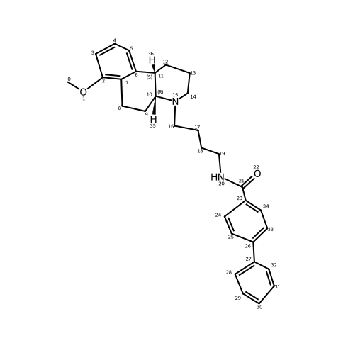 COc1cccc2c1CC[C@@H]1[C@H]2CCCN1CCCCNC(=O)c1ccc(-c2ccccc2)cc1